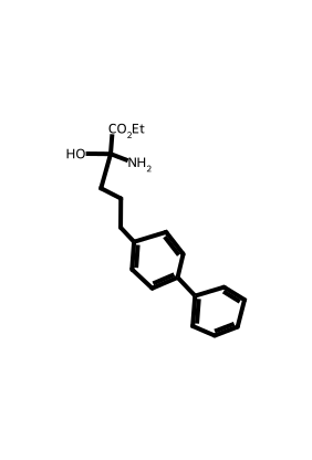 CCOC(=O)C(N)(O)CCCc1ccc(-c2ccccc2)cc1